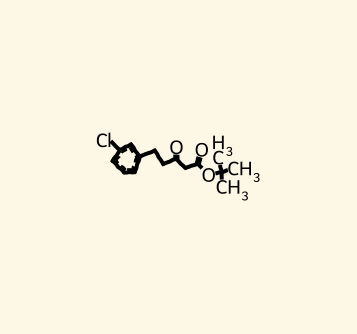 CC(C)(C)OC(=O)CC(=O)CCc1cccc(Cl)c1